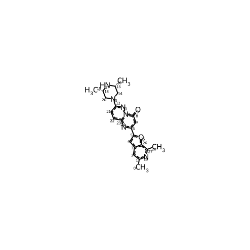 Cc1cc2cc(-c3cc(=O)n4nc(N5C[C@@H](C)N[C@@H](C)C5)ccc4n3)oc2c(C)n1